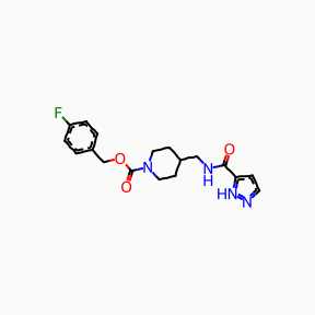 O=C(NCC1CCN(C(=O)OCc2ccc(F)cc2)CC1)c1ccn[nH]1